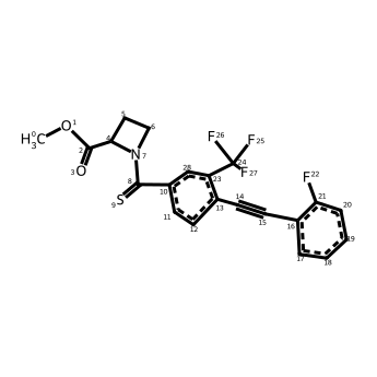 COC(=O)C1CCN1C(=S)c1ccc(C#Cc2ccccc2F)c(C(F)(F)F)c1